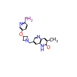 Cc1cc2ncc(CN3CC(Oc4ccc(P)nc4)C3)cc2[nH]c1=O